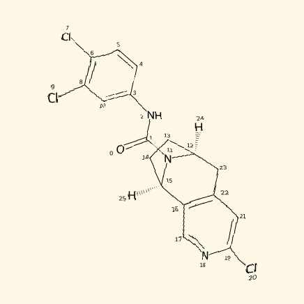 O=C(Nc1ccc(Cl)c(Cl)c1)N1[C@H]2CC[C@@H]1c1cnc(Cl)cc1C2